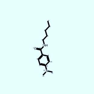 CCCCCNC(=O)c1ccc(N(C)C)cc1